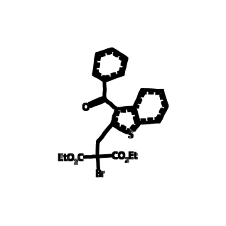 CCOC(=O)C(Br)(Cc1sc2ccccc2c1C(=O)c1ccccc1)C(=O)OCC